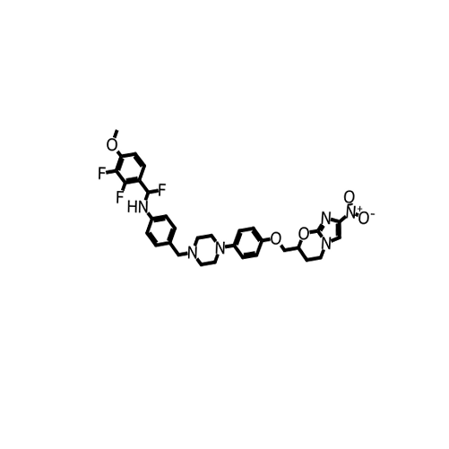 COc1ccc(C(F)Nc2ccc(CN3CCN(c4ccc(OCC5CCn6cc([N+](=O)[O-])nc6O5)cc4)CC3)cc2)c(F)c1F